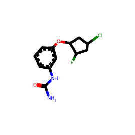 NC(=O)Nc1cccc(OC2CC(Cl)CC2F)c1